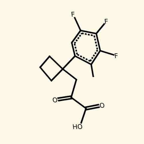 Cc1c(C2(CC(=O)C(=O)O)CCC2)cc(F)c(F)c1F